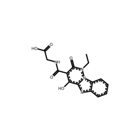 CCn1c(=O)c(C(=O)NCC(=O)O)c(O)c2nc3ccccc3n21